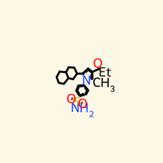 CCC(=O)c1cc(C2CCC3CCCCC3C2)n(-c2ccc(S(N)(=O)=O)cc2)c1C